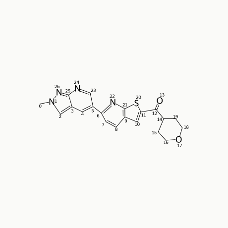 Cn1cc2cc(-c3ccc4cc(C(=O)C5CCOCC5)sc4n3)cnc2n1